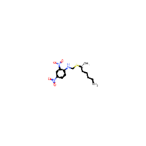 CCCCC[C@@H](C)SCNc1ccc([N+](=O)[O-])cc1[N+](=O)[O-]